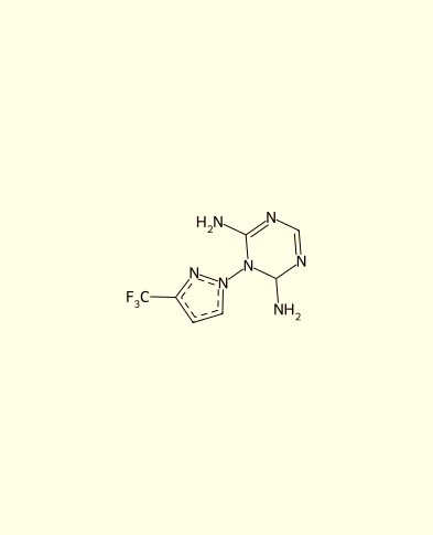 NC1=NC=NC(N)N1n1ccc(C(F)(F)F)n1